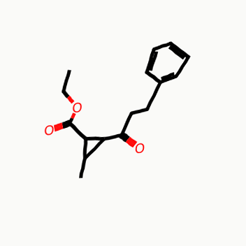 CCOC(=O)C1C(C)C1C(=O)CCc1ccccc1